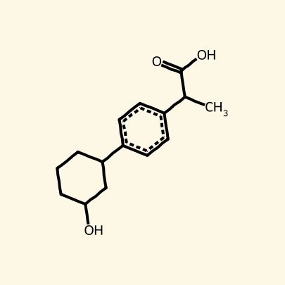 CC(C(=O)O)c1ccc(C2CCCC(O)C2)cc1